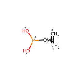 C=C.COP(O)O